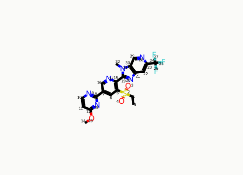 CCS(=O)(=O)c1cc(-c2nccc(OC)n2)cnc1-c1nc2cc(C(F)(F)F)ncc2n1C